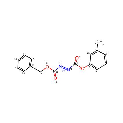 Cc1cccc(OC(=O)/N=N/C(=O)OCc2ccccc2)c1